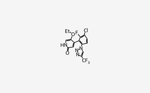 CCOc1c[nH]c(=O)cc1-c1c(-n2cc(C(F)(F)F)nn2)ccc(Cl)c1F